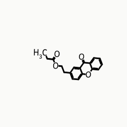 CCC(=O)OCCc1ccc2oc3ccccc3c(=O)c2c1